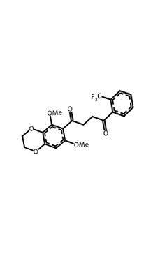 COc1cc2c(c(OC)c1C(=O)CCC(=O)c1ccccc1C(F)(F)F)OCCO2